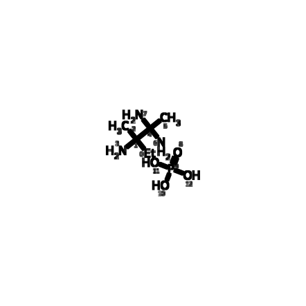 CCC(C)(N)C(C)(N)N.O=P(O)(O)O